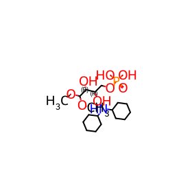 C1CCC(NC2CCCCC2)CC1.COC(OC)[C@H](O)[C@H](O)COP(=O)(O)O